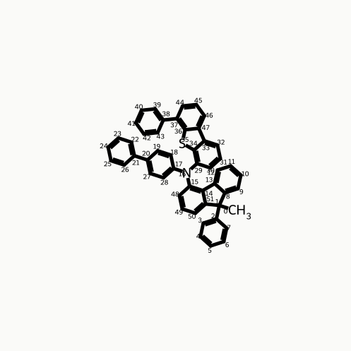 CC1(c2ccccc2)c2ccccc2-c2c(N(c3ccc(-c4ccccc4)cc3)c3cccc4c3sc3c(-c5ccccc5)cccc34)cccc21